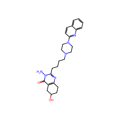 Nn1c(CCCCN2CCN(c3ccc4ccccc4n3)CC2)nc2c(c1=O)CC(O)CC2